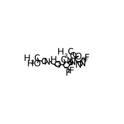 CCOC(=O)C(c1ncn2c1C[C@@H](F)C2)n1cc2c(C(F)F)cc(-c3ccc(CCN4CCC(C(C)O)CC4)cc3)c(C)c2n1